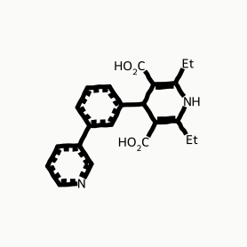 CCC1=C(C(=O)O)C(c2cccc(-c3cccnc3)c2)C(C(=O)O)=C(CC)N1